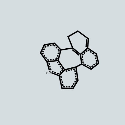 C1=c2cccc3c2=C(CC1)c1cccc2[nH]c4cccc-3c4c12